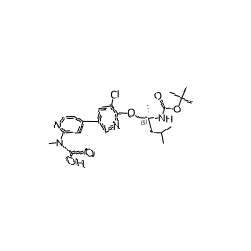 CC(C)C[C@@](C)(COc1ncc(-c2ccnc(N(C)C(=O)O)c2)cc1Cl)NC(=O)OC(C)(C)C